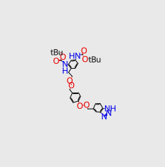 CC(C)(C)OC(=O)Nc1ccc(CCOOCc2ccc(OOCc3ccc4[nH]nnc4c3)cc2)c(NC(=O)OC(C)(C)C)c1